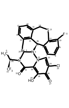 C[C@@H](N1CN([C@@H]2c3cccc(F)c3SCc3cccc(Br)c32)n2cc(Cl)c(=O)c(O)c2C1=O)C(F)(F)F